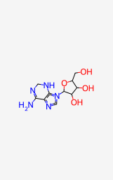 NC1=NCNc2c1ncn2C1OC(CO)C(O)C1O